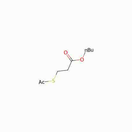 CCCCOC(=O)CCSC(C)=O